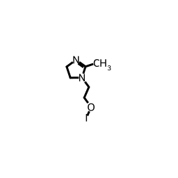 CC1=NCCN1CCOI